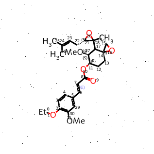 CCOc1ccc(/C=C/C(=O)O[C@@H]2CC[C@]3(CO3)C(C3(C)O[C@H]3CC=C(C)C)[C@@H]2OC)cc1OC